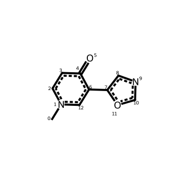 Cn1ccc(=O)c(-c2cnco2)c1